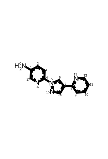 Nc1ccc(-n2cc(-c3ccccn3)cn2)nc1